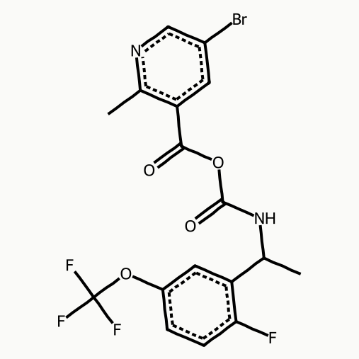 Cc1ncc(Br)cc1C(=O)OC(=O)NC(C)c1cc(OC(F)(F)F)ccc1F